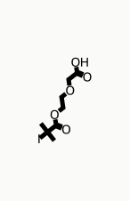 CC(C)(I)C(=O)OCCOCC(=O)O